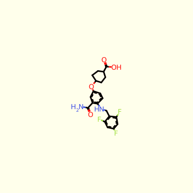 NC(=O)c1cc(OC2CCC(C(=O)O)CC2)ccc1NCc1c(F)cc(F)cc1F